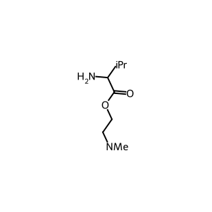 CNCCOC(=O)C(N)C(C)C